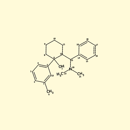 Cc1cccc(C2(O)CCCCC2C(c2ccccc2)N(C)C)c1